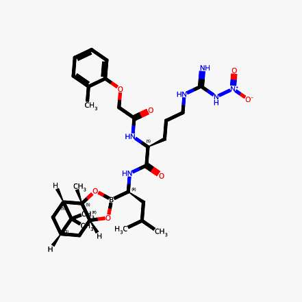 Cc1ccccc1OCC(=O)N[C@@H](CCCNC(=N)N[N+](=O)[O-])C(=O)N[C@@H](CC(C)C)B1O[C@@H]2C[C@@H]3C[C@@H](C3(C)C)[C@]2(C)O1